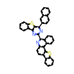 c1ccc2cc(-c3nc(-c4nc5ccc6c7ccccc7sc6c5c5ccccc45)nc4c3sc3ccccc34)ccc2c1